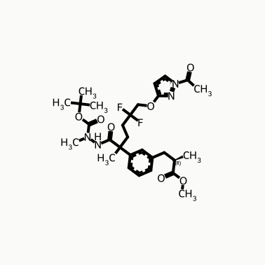 COC(=O)[C@H](C)Cc1cccc(C(C)(CCC(F)(F)COc2ccn(C(C)=O)n2)C(=O)NN(C)C(=O)OC(C)(C)C)c1